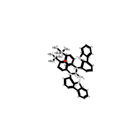 CCCC[Si](CCCC)(CCCC)c1ccc(P(c2cccc3c2oc2ccccc23)N(C)P(c2ccc([Si](CCCC)(CCCC)CCCC)cc2)c2cccc3c2oc2ccccc23)cc1